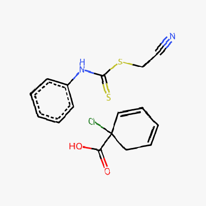 N#CCSC(=S)Nc1ccccc1.O=C(O)C1(Cl)C=CC=CC1